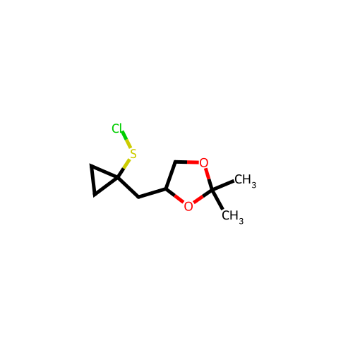 CC1(C)OCC(CC2(SCl)CC2)O1